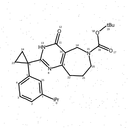 CC(C)c1cccc(C2(c3nc4c(c(=O)[nH]3)CN(C(=O)OC(C)(C)C)CCC4)CC2)c1